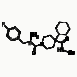 CC(C)(C)NC(=O)C1(C2CCCCC2)CCN(C(=O)[C@H](N)Cc2ccc(F)cc2)CC1